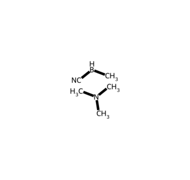 CBC#N.CN(C)C